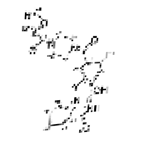 O=C1NC(O)N(Cc2ccc(F)c(C(=O)N3CCN(C(=O)c4cnco4)CC3)c2)c2ccccc21